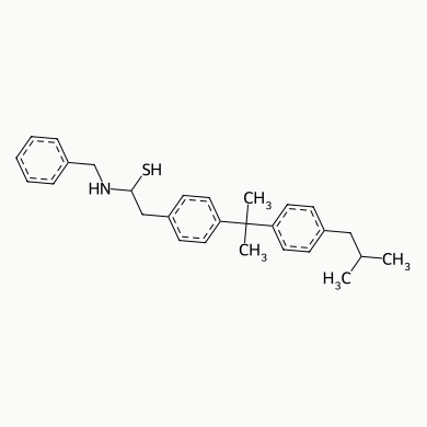 CC(C)Cc1ccc(C(C)(C)c2ccc(CC(S)NCc3ccccc3)cc2)cc1